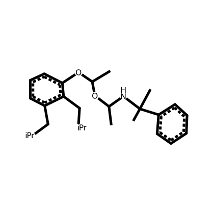 CC(C)Cc1cccc(OC(C)OC(C)NC(C)(C)c2ccccc2)c1CC(C)C